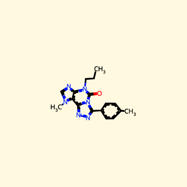 CCCn1c(=O)n2c(-c3ccc(C)cc3)nnc2c2c1ncn2C